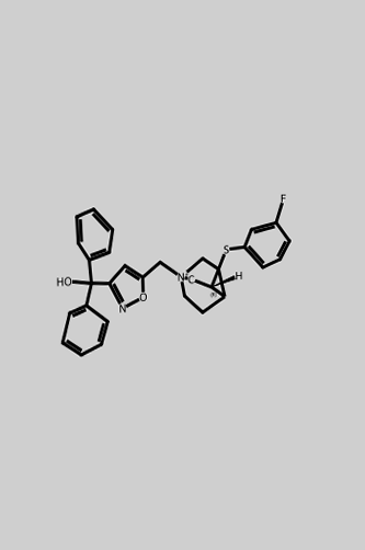 OC(c1ccccc1)(c1ccccc1)c1cc(C[N+]23CCC(CC2)[C@@H](Sc2cccc(F)c2)C3)on1